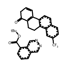 CC(C)(C)OC(=O)c1cccc2cnncc12.O=C1CC=CC2=C1CCc1c2ccc2ccc(C(F)(F)F)cc12